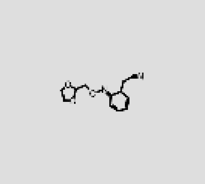 N#CCC1C=CC=CC1=NOCC1OCCO1